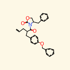 C=CCC(Cc1ccc(OCc2ccccc2)cc1)C(=O)N1C(=O)OCC1Cc1ccccc1